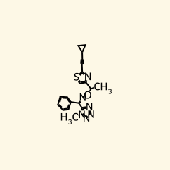 CC(ON=C(c1ccccc1)c1nnnn1C)c1csc(C#CC2CC2)n1